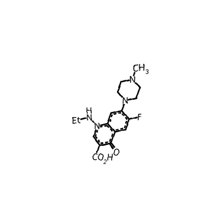 CCNn1cc(C(=O)O)c(=O)c2cc(F)c(N3CCN(C)CC3)cc21